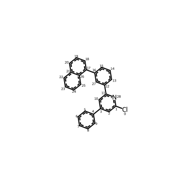 Clc1cc(-c2ccccc2)cc(-c2cccc(-c3cccc4ccccc34)c2)n1